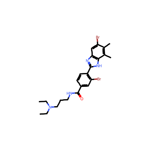 CCN(CC)CCCNC(=O)c1ccc(-c2nc3cc(Br)c(C)c(C)c3[nH]2)c(Br)c1